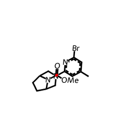 COC(=O)N1C2CCC1CN(c1cc(C)cc(Br)n1)C2